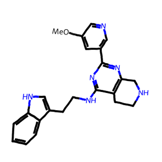 COc1cncc(-c2nc3c(c(NCCc4c[nH]c5ccccc45)n2)CCNC3)c1